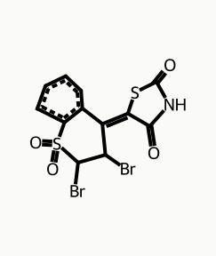 O=C1NC(=O)/C(=C2/c3ccccc3S(=O)(=O)C(Br)C2Br)S1